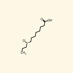 CCC[S+]([O-])CCCCCCCC(=O)O